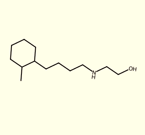 CC1CCCCC1CCCCNCCO